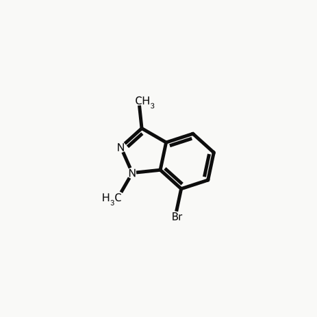 Cc1nn(C)c2c(Br)cccc12